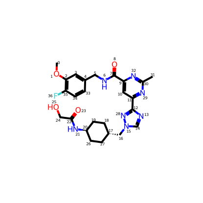 COc1cc(CNC(=O)c2cc(-c3ncn(C[C@H]4CC[C@H](NC(=O)CO)CC4)n3)nc(C)n2)ccc1F